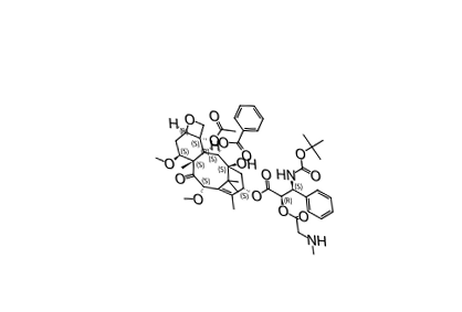 CNCC(=O)O[C@@H](C(=O)O[C@H]1C[C@@]2(O)[C@@H](OC(=O)c3ccccc3)[C@@H]3[C@]4(OC(C)=O)CO[C@@H]4C[C@H](OC)[C@@]3(C)C(=O)[C@@H](OC)C(=C1C)C2(C)C)[C@@H](NC(=O)OC(C)(C)C)c1ccccc1